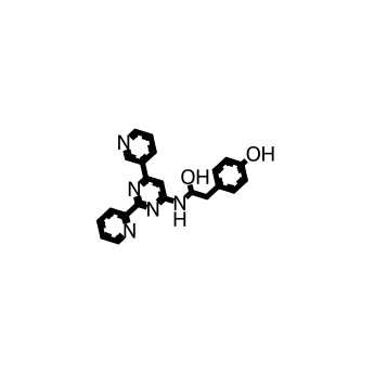 Oc1ccc(CC(O)Nc2cc(-c3cccnc3)nc(-c3ccccn3)n2)cc1